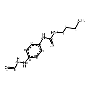 CCCCNC(=S)Nc1ccc(NNC=O)cc1